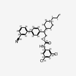 CCCN1CCC(C(COC(=O)Nc2cc(Cl)cc(Cl)c2)c2ccc(-c3cccc(C#N)c3)cc2)CC1